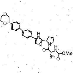 COC(=O)N[C@H](C(=O)N1CCC[C@H]1c1ncc(-c2ccc(-c3ccc(C4COCCO4)cc3)cc2)[nH]1)C(C)C